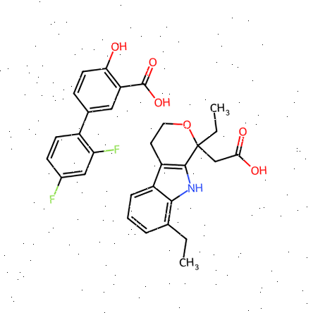 CCc1cccc2c3c([nH]c12)C(CC)(CC(=O)O)OCC3.O=C(O)c1cc(-c2ccc(F)cc2F)ccc1O